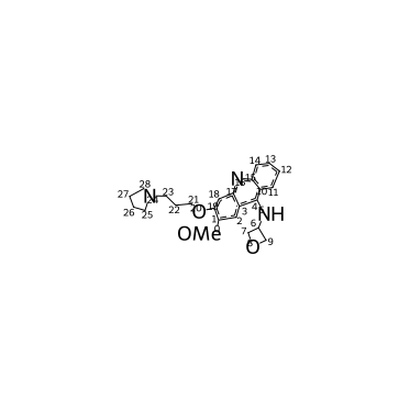 COc1cc2c(NC3COC3)c3ccccc3nc2cc1OCCCN1CCCC1